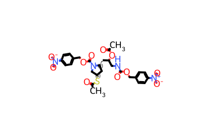 CC(=O)OC(CNC(=O)OCc1ccc([N+](=O)[O-])cc1)C[C@@H]1C[C@H](SC(C)=O)CN1C(=O)OCc1ccc([N+](=O)[O-])cc1